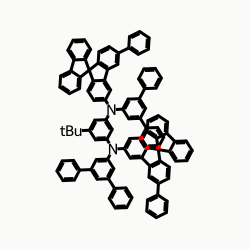 CC(C)(C)c1cc(N(c2cc(-c3ccccc3)cc(-c3ccccc3)c2)c2ccc3c(c2)-c2cc(-c4ccccc4)ccc2C32c3ccccc3-c3ccccc32)cc(N(c2cc(-c3ccccc3)cc(-c3ccccc3)c2)c2ccc3c(c2)-c2cc(-c4ccccc4)ccc2C32c3ccccc3-c3ccccc32)c1